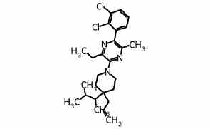 C=CCC1(C(C)C(C)C)CCN(c2nc(C)c(-c3cccc(Cl)c3Cl)nc2CC)CC1